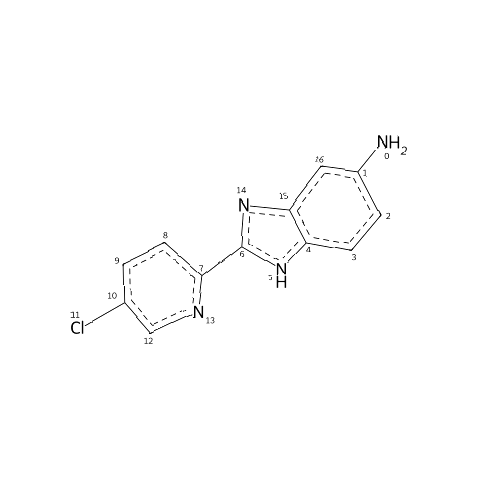 Nc1ccc2[nH]c(-c3ccc(Cl)cn3)nc2c1